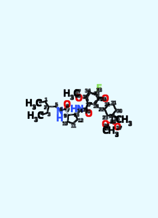 CCC(CC)CNC(=O)[C@H]1CCC[C@H]1NC(=O)c1cc(O[C@H]2CC[C@@](C)(C(=O)OC)CC2)c(F)cc1OC